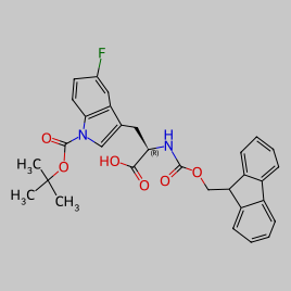 CC(C)(C)OC(=O)n1cc(C[C@@H](NC(=O)OCC2c3ccccc3-c3ccccc32)C(=O)O)c2cc(F)ccc21